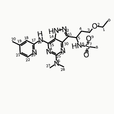 CCOCCC(NS(C)(=O)=O)c1n[nH]c2c(Nc3cc(C)ccn3)nc(N(C)C)nc12